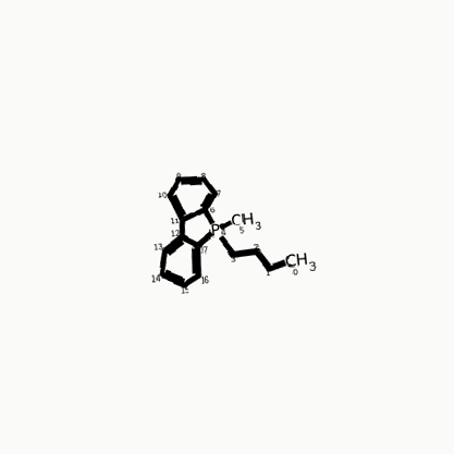 CCCC[P]1(C)c2ccccc2-c2ccccc21